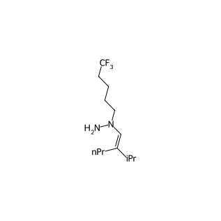 CCC/C(=C\N(N)CCCCC(F)(F)F)C(C)C